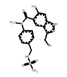 CC(C)Cc1n[nH]c2cc(O)c(C(=O)N(C)c3ccc(CNS(C)(=O)=O)cc3)cc12